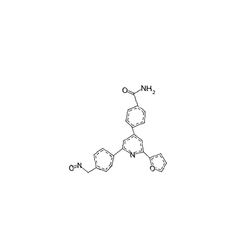 NC(=O)c1ccc(-c2cc(-c3ccc(CN=O)cc3)nc(-c3ccco3)c2)cc1